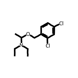 CCN(CC)C(C)OCc1ccc(Cl)cc1Cl